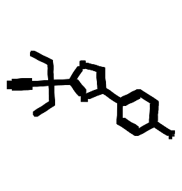 CCC(C#N)(CC)c1nc(-c2ccc(F)cc2)cs1